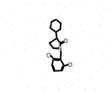 O=C1C(C2CCCCC2)CCN1Cc1c(Cl)cccc1Cl